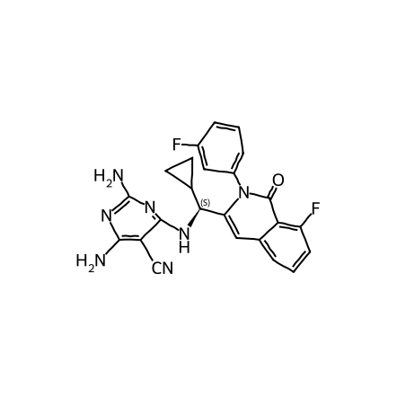 N#Cc1c(N)nc(N)nc1N[C@H](c1cc2cccc(F)c2c(=O)n1-c1cccc(F)c1)C1CC1